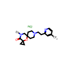 CCN1CC2(CCN(CCc3cc(C(F)(F)F)ccn3)CC2)OC2(CC2)C1=O.Cl